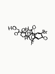 C[C@]12C=C(Br)C(=O)C=C1[C@H](F)C[C@H]1[C@@H]3CC[C@](O)(C(=O)CO)[C@@]3(C)CC(=O)[C@@]12Cl